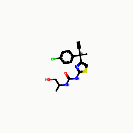 C#C[C@@](C)(c1ccc(Cl)cc1)c1csc(NC(=O)NC(C)CO)n1